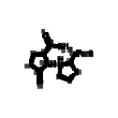 CCCCCC1NCCS1.NC(=O)C1CCC(=O)N1